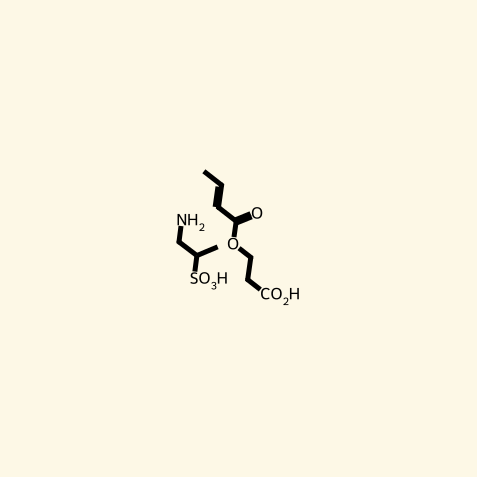 CC(CN)S(=O)(=O)O.CC=CC(=O)OCCC(=O)O